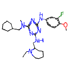 CCN1CCCC1CNc1nc(Nc2ccc(OC)c(F)c2)nc(N(C)CC2CCCCC2)n1